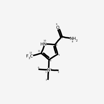 C[N+](C)(C)c1cc(C(N)=O)[nH]c1C(F)(F)F